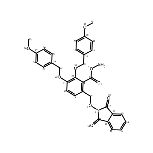 BOC(=O)c1c(CON2C(=O)c3ccccc3C2=O)ccc(OCc2ccc(OC)cc2)c1OCc1ccc(OC)cc1